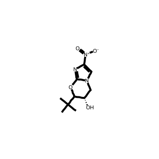 CC(C)(C)C1Oc2nc([N+](=O)[O-])cn2C[C@@H]1O